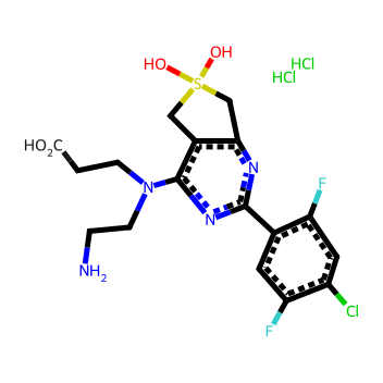 Cl.Cl.NCCN(CCC(=O)O)c1nc(-c2cc(F)c(Cl)cc2F)nc2c1CS(O)(O)C2